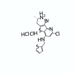 C[C@H](N)Cc1sc2c(NCc3cccs3)cc(Cl)nc2c1Br.Cl.Cl